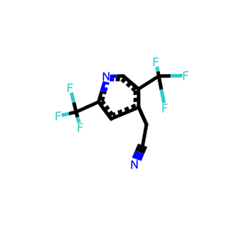 N#CCc1cc(C(F)(F)F)ncc1C(F)(F)F